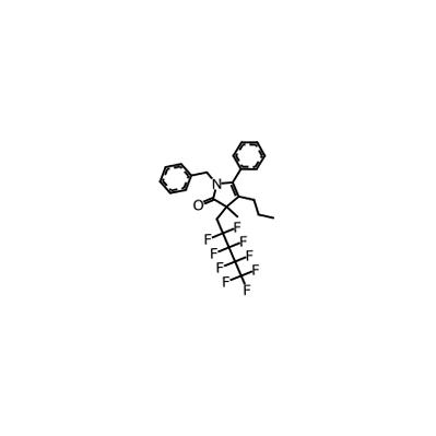 CCCC1=C(c2ccccc2)N(Cc2ccccc2)C(=O)C1(C)CC(F)(F)C(F)(F)C(F)(F)C(F)(F)F